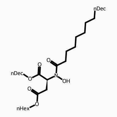 CCCCCCCCCCCCCCCCCC(=O)N(O)[C@@H](CC(=O)OCCCCCC)C(=O)OCCCCCCCCCC